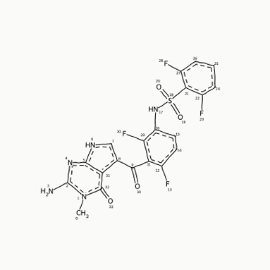 Cn1c(N)nc2[nH]cc(C(=O)c3c(F)ccc(NS(=O)(=O)c4c(F)cccc4F)c3F)c2c1=O